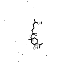 CC(O)CCCC(=O)O[C@]1(C)CC[C@@H](C(C)C)[C@H](O)C1